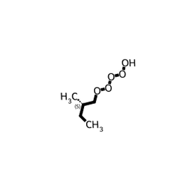 CC[C@H](C)COOOOO